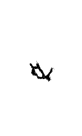 CC1CCC2C(=C1I)C2(C)C